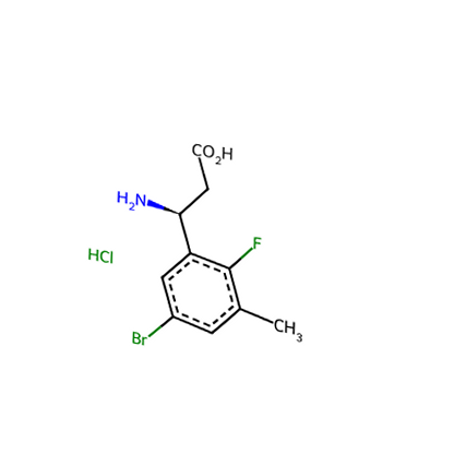 Cc1cc(Br)cc([C@@H](N)CC(=O)O)c1F.Cl